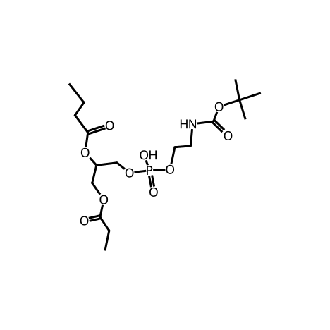 CCCC(=O)OC(COC(=O)CC)COP(=O)(O)OCCNC(=O)OC(C)(C)C